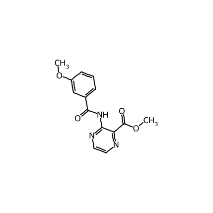 COC(=O)c1nccnc1NC(=O)c1cccc(OC)c1